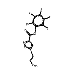 O=C(Oc1c(F)c(F)c(F)c(F)c1F)c1cc(CCO)on1